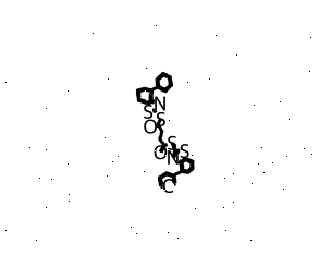 O=C(CCC(=O)Sc1nc2c(-c3ccccc3)cccc2s1)Sc1nc2c(-c3ccccc3)cccc2s1